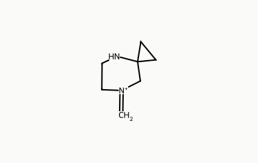 C=[N+]1CCNC2(CC2)C1